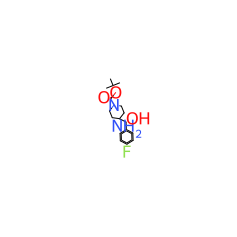 CC(C)(C)OC(=O)N1CCC(N)(C(O)c2ccc(F)cc2)CC1